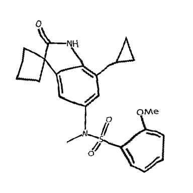 COc1ccccc1S(=O)(=O)N(C)c1cc(C2CC2)c2c(c1)C1(CCC1)C(=O)N2